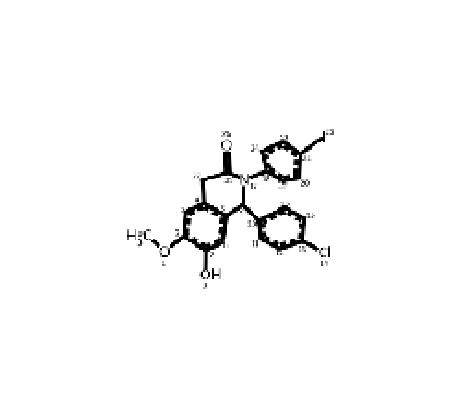 COc1cc2c(cc1O)C(c1ccc(Cl)cc1)N(c1ccc(I)cc1)C(=O)C2